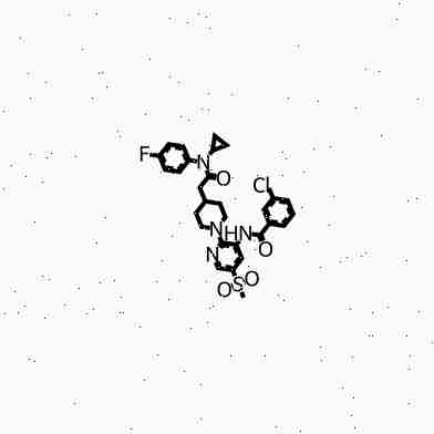 CS(=O)(=O)c1cnc(N2CCC(CC(=O)N(c3ccc(F)cc3)C3CC3)CC2)c(NC(=O)c2cccc(Cl)c2)c1